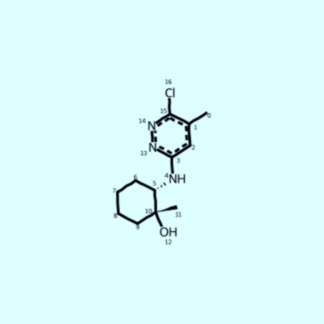 Cc1cc(N[C@H]2CCCC[C@@]2(C)O)nnc1Cl